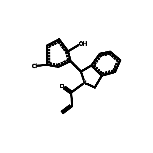 C=CC(=O)N1Cc2ccccc2C1c1cc(Cl)ccc1O